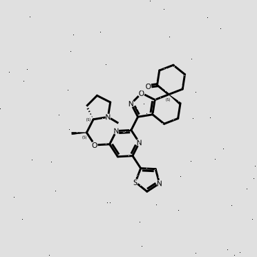 C[C@H](Oc1cc(-c2cncs2)nc(-c2noc3c2CCC[C@@]32CCCCC2=O)n1)[C@@H]1CCCN1C